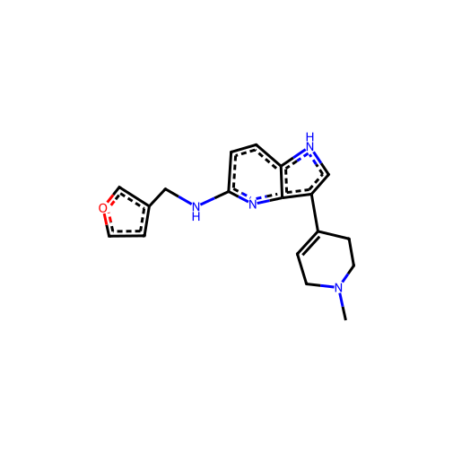 CN1CC=C(c2c[nH]c3ccc(NCc4ccoc4)nc23)CC1